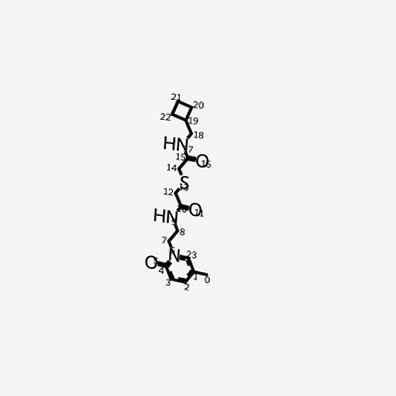 Cc1ccc(=O)n(CCNC(=O)CSCC(=O)NCC2CCC2)c1